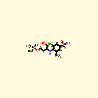 CC(C)(C)[Si](C)(C)OCCC(CO)Nc1c(Br)cc(S(N)(=O)=O)cc1[N+](=O)[O-]